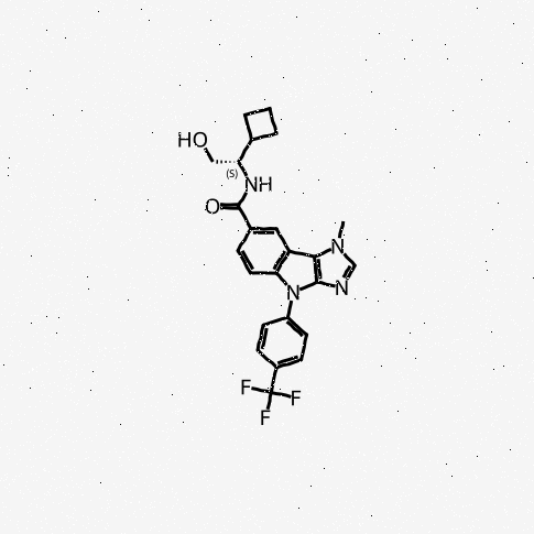 Cn1cnc2c1c1cc(C(=O)N[C@H](CO)C3CCC3)ccc1n2-c1ccc(C(F)(F)F)cc1